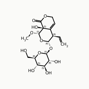 C=C[C@@H]1C2=CCOC(=O)[C@@]2(O)[C@@H](OC)O[C@H]1O[C@@H]1O[C@H](CO)[C@@H](O)[C@H](O)[C@H]1O